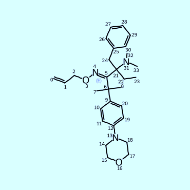 C=CCO/N=C(\C(C)(C)c1ccc(N2CCOCC2)cc1)C(CC)(Cc1ccccc1)N(C)C